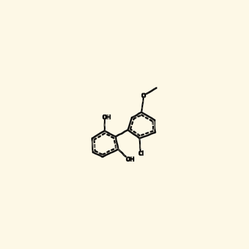 COc1ccc(Cl)c(-c2c(O)cccc2O)c1